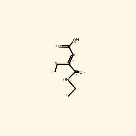 CCNC(=O)/C(=C/C(=O)O)CC